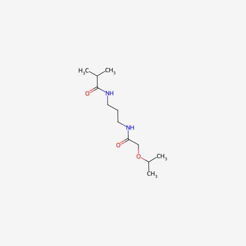 CC(C)OCC(=O)NCCCNC(=O)C(C)C